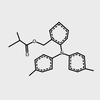 Cc1ccc(N(c2ccc(C)cc2)c2ccccc2COC(=O)C(C)C)cc1